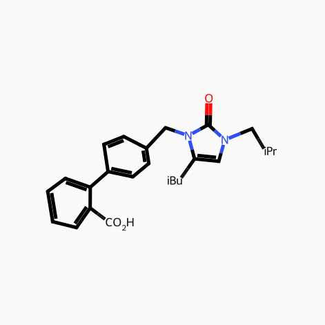 CCC(C)c1cn(CC(C)C)c(=O)n1Cc1ccc(-c2ccccc2C(=O)O)cc1